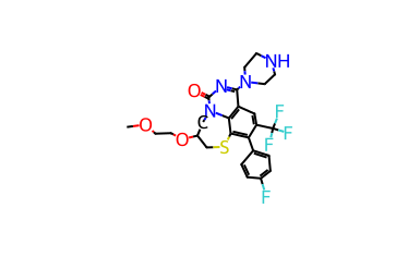 COCCOC1CSc2c(-c3ccc(F)cc3)c(C(F)(F)F)cc3c(N4CCNCC4)nc(=O)n(c23)C1